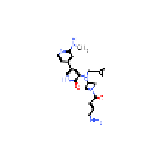 CNc1cc(-c2c[nH]c(=O)c(N(CC3CC3)C3CN(C(=O)C=CCN)C3)c2)ccn1